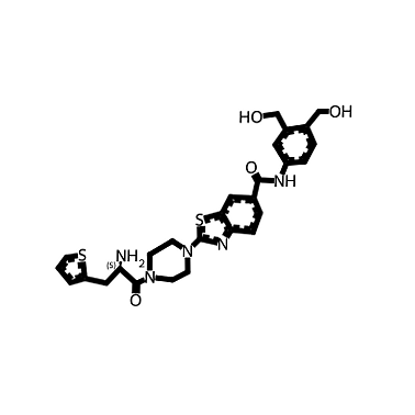 N[C@@H](Cc1cccs1)C(=O)N1CCN(c2nc3ccc(C(=O)Nc4ccc(CO)c(CO)c4)cc3s2)CC1